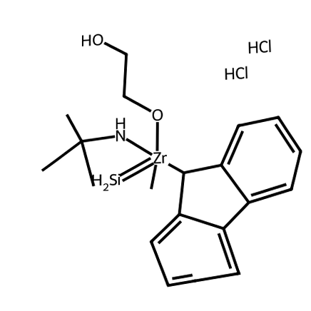 CC(C)(C)[NH][Zr]([CH3])(=[SiH2])([O]CCO)[CH]1c2ccccc2-c2ccccc21.Cl.Cl